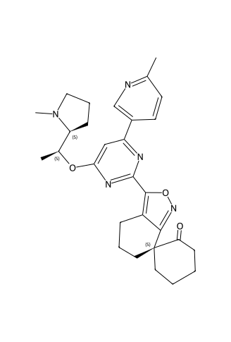 Cc1ccc(-c2cc(O[C@@H](C)[C@@H]3CCCN3C)nc(-c3onc4c3CCC[C@@]43CCCCC3=O)n2)cn1